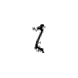 CC(C)(C)CC(=O)N1Cc2cc(OCCOCCOCCOCCOCCOCCNCc3ccc(-n4cc(NC(=O)c5coc(-c6ccnc(NCC7CC7)c6)n5)c(C(F)F)n4)cc3)ccc2CC1C(=O)N[C@@H]1CCCc2ccccc21